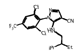 CCC(CNc1c(C#N)cnn1-c1c(Cl)cc(C(F)(F)F)cc1Cl)C(C)C